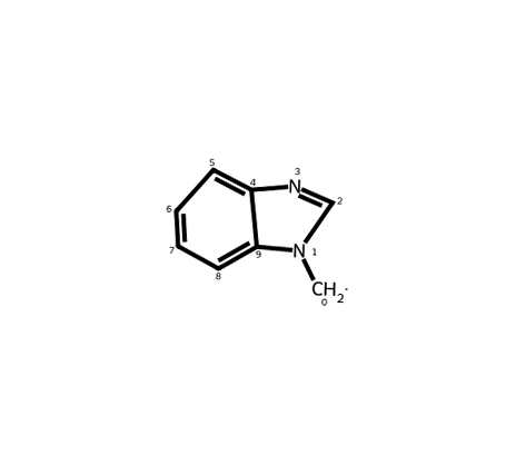 [CH2]n1cnc2ccccc21